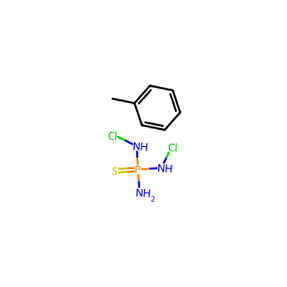 Cc1ccccc1.NP(=S)(NCl)NCl